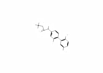 CC(C)(F)C[C@@](N)(C(=O)O)C(c1ccc(-c2cc(C=O)ccc2O)c(F)c1)C(F)(F)F